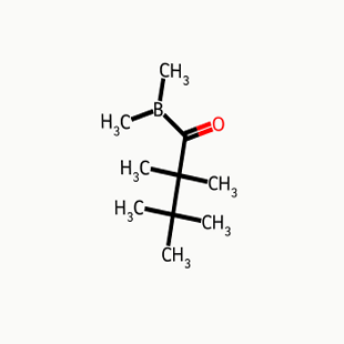 CB(C)C(=O)C(C)(C)C(C)(C)C